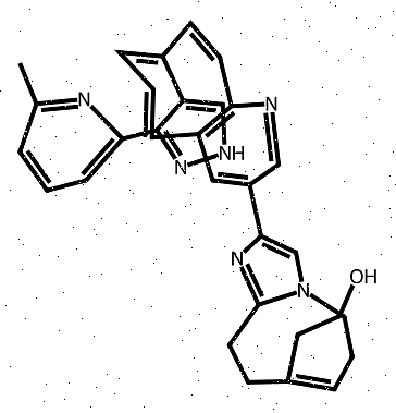 Cc1cccc(-c2n[nH]cc2C2=C\C=C\c3cc(-c4cn5c(n4)CC/C(CCO)=C/CC5)cnc3/C=C\2)n1